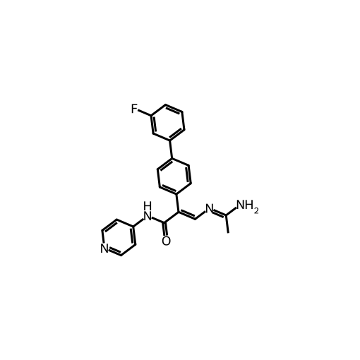 C/C(N)=N\C=C(\C(=O)Nc1ccncc1)c1ccc(-c2cccc(F)c2)cc1